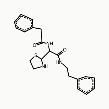 O=C(Cc1ccccc1)NC(C(=O)NCCc1ccccc1)C1NCCS1